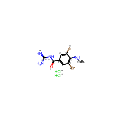 CCCCNc1c(Br)cc(C(=O)NC(=N)N)cc1Br.Cl.Cl